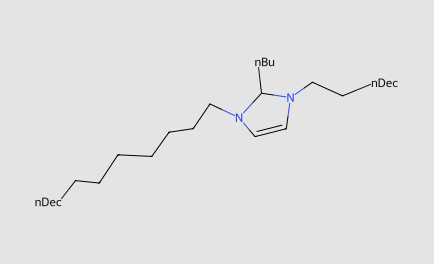 CCCCCCCCCCCCCCCCCN1C=CN(CCCCCCCCCCCC)C1CCCC